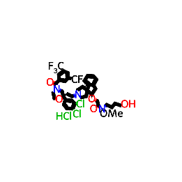 CON(CCCCO)C(=O)CO[C@H]1Cc2ccccc2C12CCN(CC[C@]1(c3ccc(Cl)c(Cl)c3)CN(C(=O)c3cc(C(F)(F)F)cc(C(F)(F)F)c3)CCO1)CC2.Cl